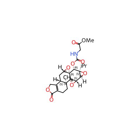 COC(=O)CNC(=O)O[C@@H]1[C@@]2(C(C)C)O[C@H]2[C@@H]2O[C@]23[C@]12O[C@H]2C[C@H]1C2=C(CC[C@@]13C)C(=O)OC2